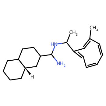 CC1=C\C(C(C)NC(N)C2CCC3CCCC[C@H]3C2)=C\C=C/C=C\1